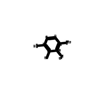 Cc1c(I)ccc(F)c1F